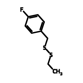 CCSSCc1ccc(F)cc1